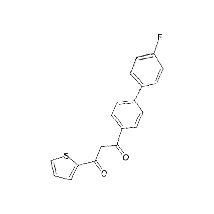 O=C(CC(=O)c1cccs1)c1ccc(-c2ccc(F)cc2)cc1